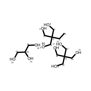 CCC(CO)(CO)CO.OCC(CO)(CO)CO.OCC(O)CO